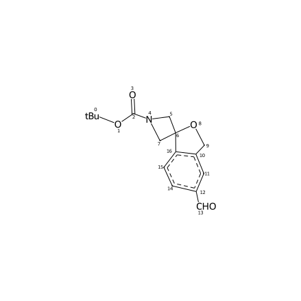 CC(C)(C)OC(=O)N1CC2(C1)OCc1cc(C=O)ccc12